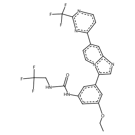 CCOc1cc(NC(=O)NCC(F)(F)F)cc(-c2cnc3cc(-c4ccnc(C(F)(F)F)n4)ccn23)c1